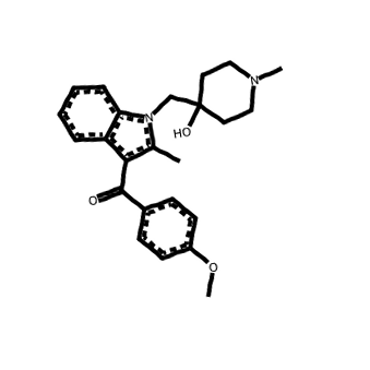 COc1ccc(C(=O)c2c(C)n(CC3(O)CCN(C)CC3)c3ccccc23)cc1